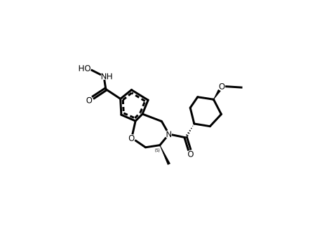 CO[C@H]1CC[C@H](C(=O)N2Cc3ccc(C(=O)NO)cc3OC[C@@H]2C)CC1